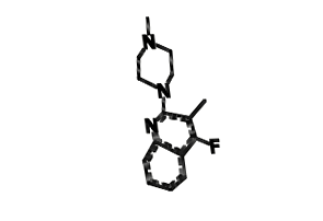 Cc1c(N2CCN(C)CC2)nc2ccccc2c1F